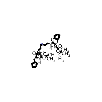 CC(C)(C)OC(=O)N[C@@H](Cc1ccccc1)C(=O)NCC/C=C\CCNC(=O)[C@H](Cc1ccccc1)NC(=O)OC(C)(C)C